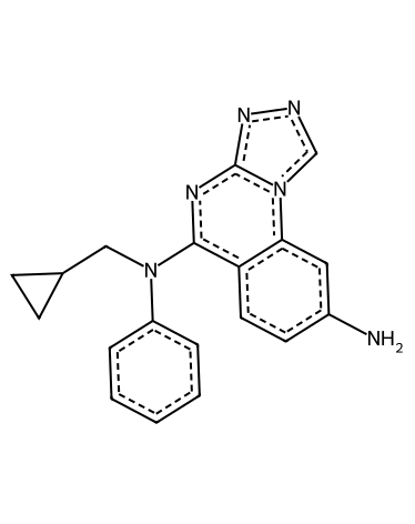 Nc1ccc2c(N(CC3CC3)c3ccccc3)nc3nncn3c2c1